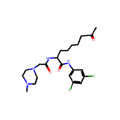 CC(=O)CCCCCC(NC(=O)CN1CCN(C)CC1)C(=O)Nc1cc(Cl)cc(Cl)c1